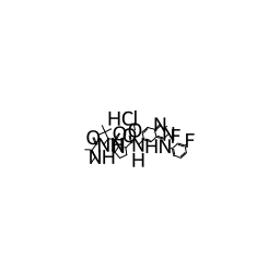 CNC(C)C(=O)NC(C(=O)N1CCCC1C(=O)Nc1cc2c(Nc3cccc(F)c3F)ncnc2cc1OC)C(C)(C)C.Cl